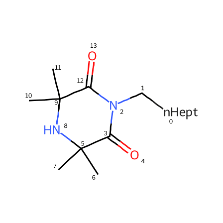 CCCCCCCCN1C(=O)C(C)(C)NC(C)(C)C1=O